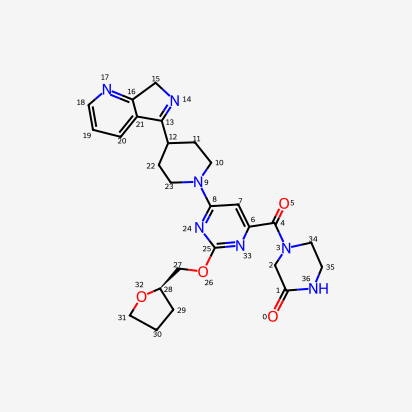 O=C1CN(C(=O)c2cc(N3CCC(C4=NCc5ncccc54)CC3)nc(OC[C@H]3CCCO3)n2)CCN1